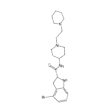 O=C(NC1CCN(CCN2CCCCC2)CC1)C1Cc2c(Br)cccc2N1